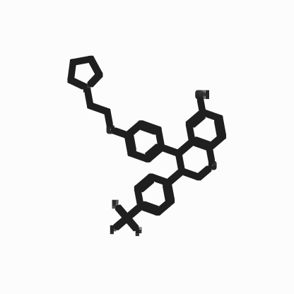 Oc1ccc2c(c1)C(c1ccc(OCCN3CCCC3)cc1)C(c1ccc(C(F)(F)F)cc1)CO2